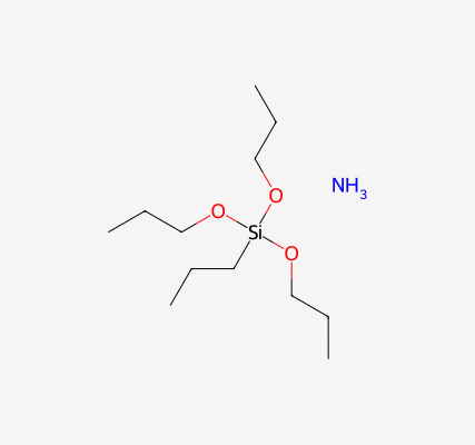 CCCO[Si](CCC)(OCCC)OCCC.N